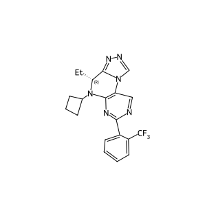 CC[C@@H]1c2nncn2-c2cnc(-c3ccccc3C(F)(F)F)nc2N1C1CCC1